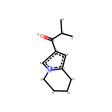 CC(C)C(=O)c1cc2n(c1)CCCC2